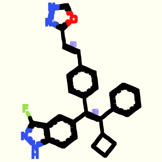 Fc1n[nH]c2ccc(/C(=C(/c3ccccc3)C3CCC3)c3ccc(/C=C/c4nnco4)cc3)cc12